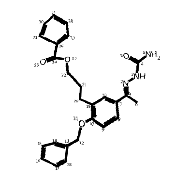 CC(=NNC(N)=O)c1ccc(OCc2ccccc2)c(CCCOC(=O)c2ccccc2)c1